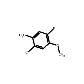 COc1cc(Cl)c(C)cc1F